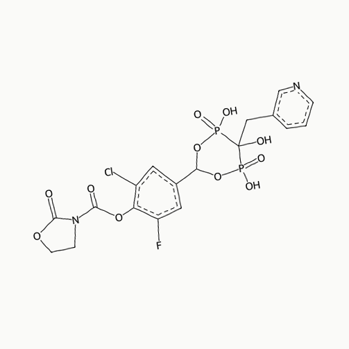 O=C1OCCN1C(=O)Oc1c(F)cc(C2OP(=O)(O)C(O)(Cc3cccnc3)P(=O)(O)O2)cc1Cl